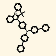 CC1(C)c2ccccc2-n2c1c(-c1ccc(N(c3ccc(-c4ccccc4)cc3)c3ccc(-c4ccccc4)cc3)cc1)c1ccccc12